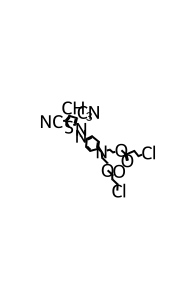 Cc1c(C#N)sc(/N=N/c2ccc(N(CCOC(=O)CCCl)CCOC(=O)CCCl)cc2)c1C#N